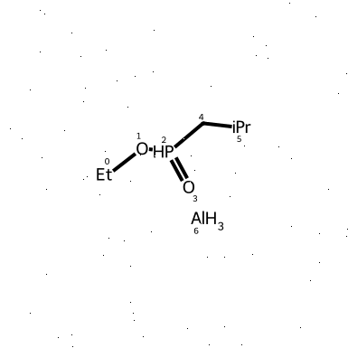 CCO[PH](=O)CC(C)C.[AlH3]